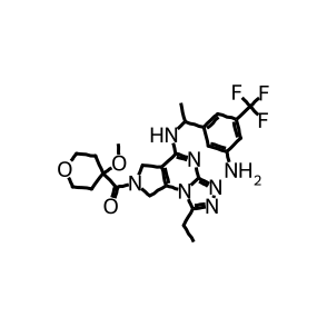 CCc1nnc2nc(NC(C)c3cc(N)cc(C(F)(F)F)c3)c3c(n12)CN(C(=O)C1(OC)CCOCC1)C3